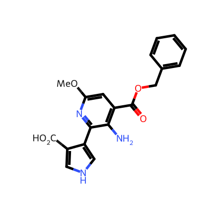 COc1cc(C(=O)OCc2ccccc2)c(N)c(-c2c[nH]cc2C(=O)O)n1